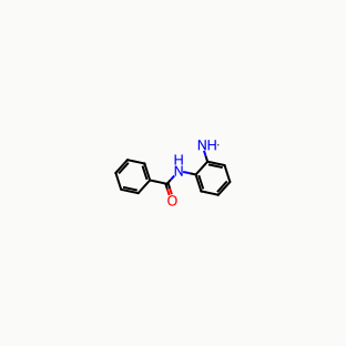 [NH]c1ccccc1NC(=O)c1ccccc1